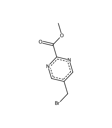 COC(=O)c1ncc(CBr)cn1